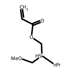 C=CC(=O)OC[SiH](CCC)COC